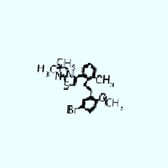 COc1ccc(Br)cc1CCc1c(C)cccc1C1=CSC2=NC(C)(C)CN12